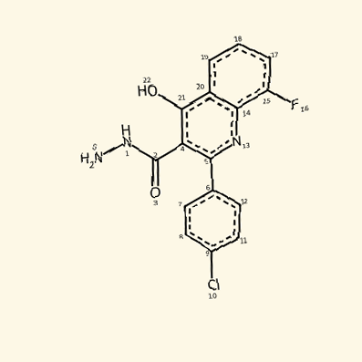 NNC(=O)c1c(-c2ccc(Cl)cc2)nc2c(F)cccc2c1O